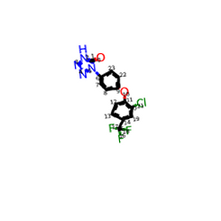 O=c1[nH]nnn1-c1ccc(Oc2ccc(C(F)(F)F)cc2Cl)cc1